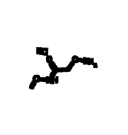 CONC(=O)CON.Cl